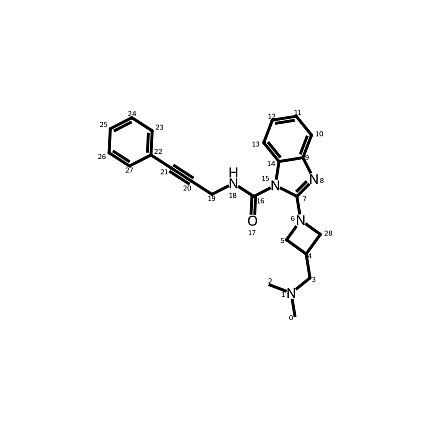 CN(C)CC1CN(c2nc3ccccc3n2C(=O)NCC#Cc2ccccc2)C1